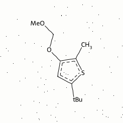 COCOc1cc(C(C)(C)C)sc1C